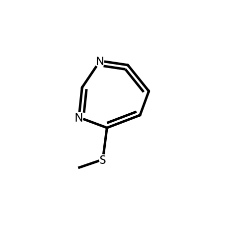 CSC1=CC=C=NC=N1